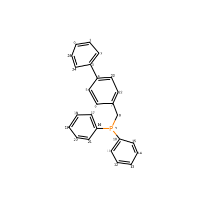 c1ccc(-c2ccc(CP(c3ccccc3)c3ccccc3)cc2)cc1